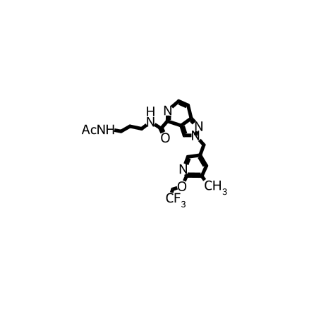 CC(=O)NCCCNC(=O)c1nccc2nn(Cc3cnc(OCC(F)(F)F)c(C)c3)cc12